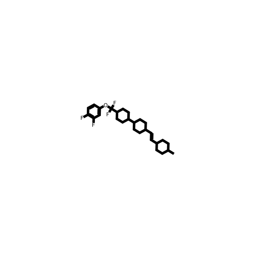 CC1CCC(/C=C/C2CCC(C3CCC(C(F)(F)Oc4ccc(F)c(F)c4)CC3)CC2)CC1